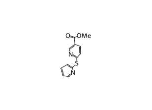 COC(=O)c1ccc(Sc2ccccn2)nc1